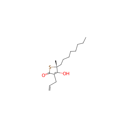 C=CCC1=C(O)[C@@](C)(CCCCCCCC)SC1=O